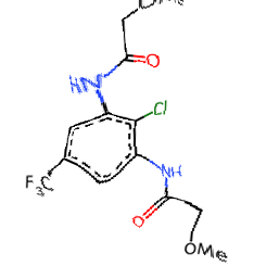 COCC(=O)Nc1cc(C(F)(F)F)cc(NC(=O)COC)c1Cl